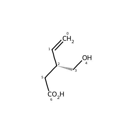 C=C[C@H](CO)CC(=O)O